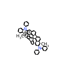 Cc1ccccc1N(c1ccccc1)c1ccc2c3c(ccc2c1)-c1ccc2cc(N(c4ccccc4)c4ccccc4[Si](C)(C)C)ccc2c1C31c2ccccc2-c2ccccc21